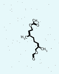 CC(=O)OCC=C(C)CCC=C(C)COC=O